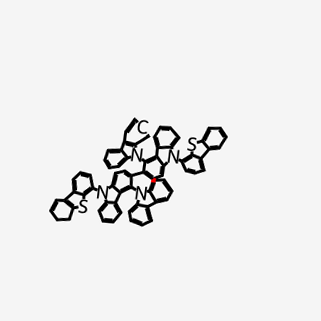 C1=Cc2c(sc3c(-n4c5ccccc5c5c(-n6c7ccccc7c7ccccc76)c(-c6ccc7c(c6-n6c8c(c9ccccc96)C=CCC8)c6ccccc6n7-c6cccc7c6sc6ccccc67)ccc54)cccc23)CC1